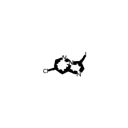 Clc1cnn2c(I)cnc2c1